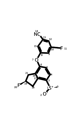 C[S@+]([O-])c1ccc(Oc2cc(F)cc(C#N)c2)c2c1C[C@@H](F)C2